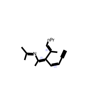 C#C\C=C/C(=C(\C)N=C(C)C)C(/C)=C/CCC